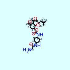 COC1C(OC(=O)N[C@H]2CC[C@H](NC(=O)CN)CC2)CC[C@]2(CO2)C1C1(C)O[C@@H]1CC=C(C)C